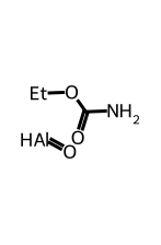 CCOC(N)=O.[O]=[AlH]